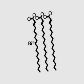 CCCCCCCCCCCCCCCC=CC(=O)[O-].CCCCCCCCCCCCCCCC=CC(=O)[O-].CCCCCCCCCCCCCCCC=CC(=O)[O-].[Bi+3]